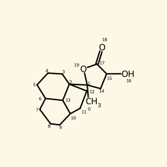 CC1(C23CCCC4CCCC(CC2)C43)CC(O)C(=O)O1